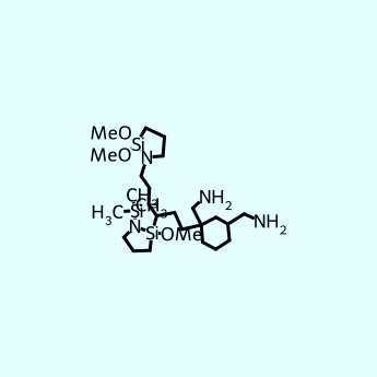 CO[Si]1(OC)CCCN1CCCC(CCC1(CN)CCCC(CN)C1)[Si]1(OC)CCCN1[Si](C)(C)C